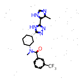 Cc1nc[nH]c1-c1nnc([C@H]2CCC[C@@H](N(C)C(=O)c3cccc(C(F)(F)F)c3)C2)[nH]1